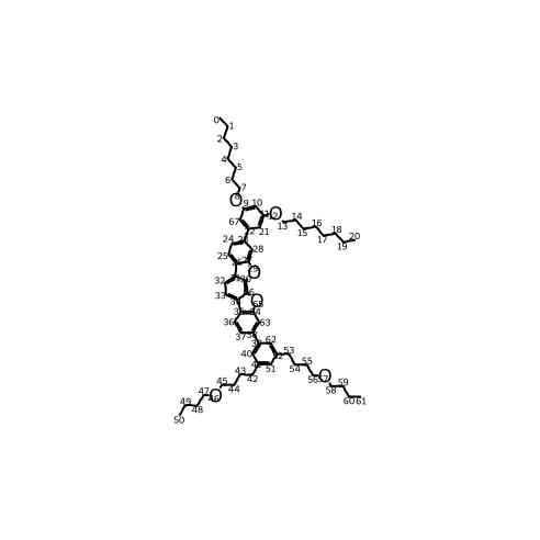 CCCCCCCCOc1cc(OCCCCCCCC)cc(-c2ccc3c(c2)oc2c3ccc3c4ccc(-c5cc(CCCCOCCCC)cc(CCCCOCCCC)c5)cc4oc32)c1